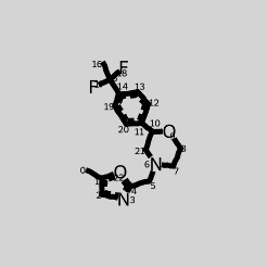 Cc1cnc(CN2CCOC(c3ccc(C(C)(F)F)cc3)C2)o1